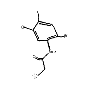 CCC(=O)Nc1cc(Cl)c(F)cc1Br